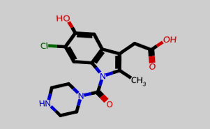 Cc1c(CC(=O)O)c2cc(O)c(Cl)cc2n1C(=O)N1CCNCC1